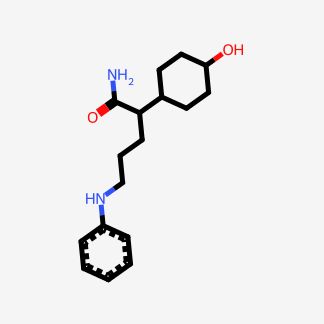 NC(=O)C(CCCNc1ccccc1)C1CCC(O)CC1